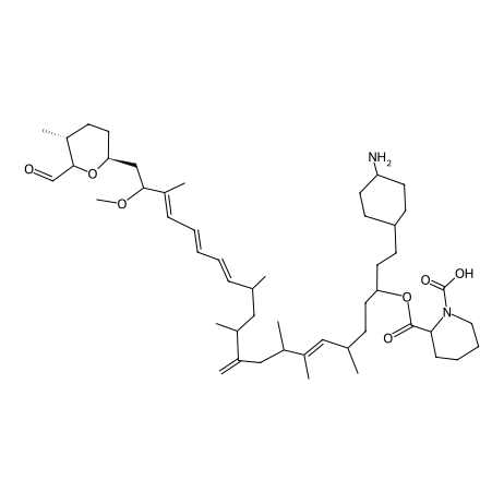 C=C(CC(C)/C(C)=C/C(C)CCC(CCC1CCC(N)CC1)OC(=O)C1CCCCN1C(=O)O)C(C)CC(C)/C=C/C=C/C=C(\C)C(C[C@@H]1CC[C@@H](C)C(C=O)O1)OC